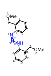 COCc1ccccc1/N=N\Nc1ccccc1COC